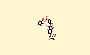 CC(=O)Oc1ccc2c(c1)CC(C)(C)C(c1cccc(C(=O)OCc3ccccc3)c1)N2